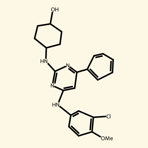 COc1ccc(Nc2cc(-c3ccccc3)nc(NC3CCC(O)CC3)n2)cc1Cl